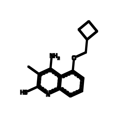 Cc1c(S)nc2cccc(OCC3CCC3)c2c1N